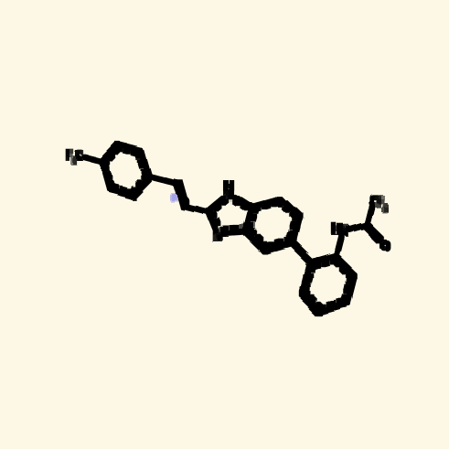 O=C(Nc1ccccc1-c1ccc2[nH]c(/C=C/c3ccc(C(F)(F)F)cc3)nc2c1)C(F)(F)F